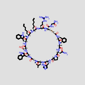 C=CCCCC[C@H]1C(=O)N(C)[C@@H](CCCCC=C)C(=O)N[C@@H](CCCNC(=N)N)C(=O)N[C@H](C(=O)NCC(N)=O)CSCC(=O)N[C@@H](Cc2ccccc2)C(=O)N(C)[C@@H](C)C(=O)N[C@@H](CC(N)=O)C(=O)N2CCC[C@H]2C(=O)N[C@@H](Cc2cnc[nH]2)C(=O)N[C@@H](CC(C)C)C(=O)N(C)CC(=O)N[C@@H](Cc2c[nH]c3ccccc23)C(=O)N[C@@H](CO)C(=O)N[C@@H](Cc2c[nH]c3ccccc23)C(=O)N1C